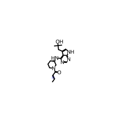 C/C=C/C(=O)N1CCC[C@@H](Nc2ncnc3[nH]cc(CC(C)(C)O)c23)C1